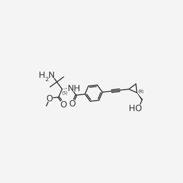 COC(=O)[C@@H](NC(=O)c1ccc(C#CC2C[C@H]2CO)cc1)C(C)(C)N